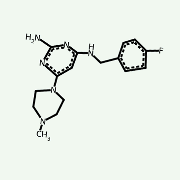 CN1CCN(c2cc(NCc3ccc(F)cc3)nc(N)n2)CC1